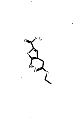 CCOC(=O)Cc1cc(C(N)=O)sc1N